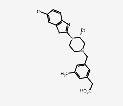 CC[C@@H]1CN(Cc2cc(C)cc(CC(=O)O)c2)CCN1c1nc2ccc(Cl)cc2s1